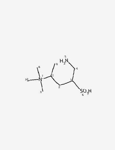 CC(CC(CN)S(=O)(=O)O)[N+](C)(C)C